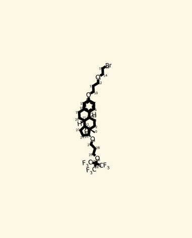 C[C@]12CC[C@@H]3c4ccc(OCCCOCCBr)cc4CC[C@H]3[C@@H]1CC[C@@H]2OCCCOC(C(F)(F)F)(C(F)(F)F)C(F)(F)F